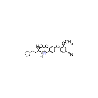 COc1cc(C#N)ccc1Oc1ccc(/C=C(/NC(=O)CCC2CCCC2)C(=O)O)cc1